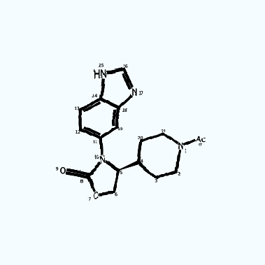 CC(=O)N1CCC([C@H]2COC(=O)N2c2ccc3[nH]cnc3c2)CC1